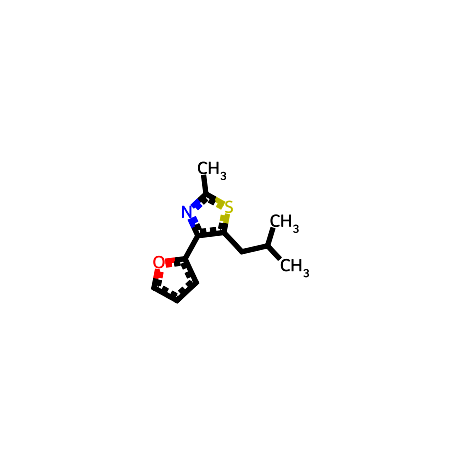 Cc1nc(-c2ccco2)c(CC(C)C)s1